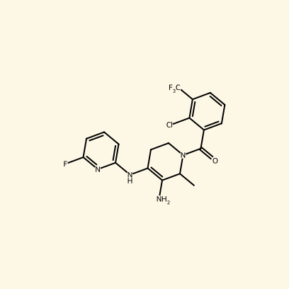 CC1C(N)=C(Nc2cccc(F)n2)CCN1C(=O)c1cccc(C(F)(F)F)c1Cl